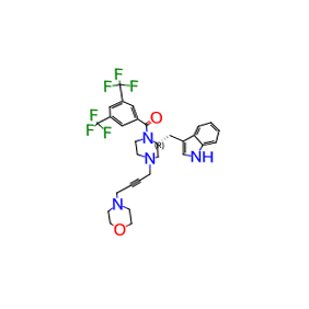 O=C(c1cc(C(F)(F)F)cc(C(F)(F)F)c1)N1CCN(CC#CCN2CCOCC2)C[C@H]1Cc1c[nH]c2ccccc12